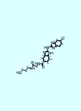 Cn1c(Nc2nc3ccc(Cl)cc3s2)nc2cc(C(=O)NCC(=O)NCCCO)ccc21